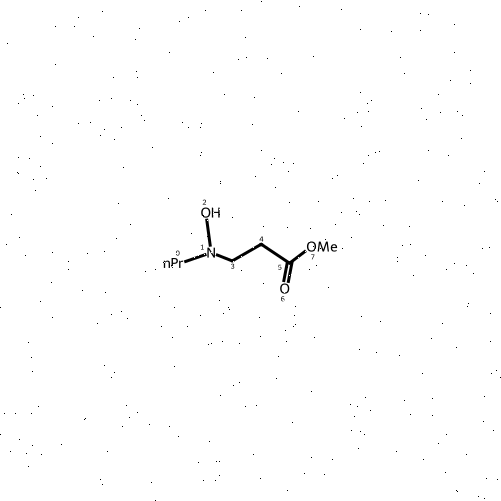 CCCN(O)CCC(=O)OC